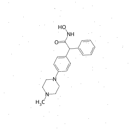 CN1CCN(c2ccc(C(C(=O)NO)c3ccccc3)cc2)CC1